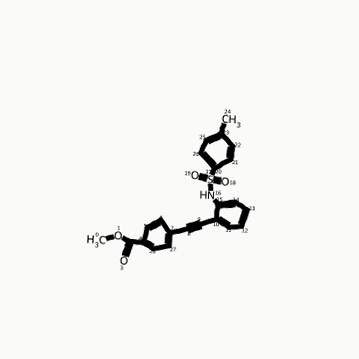 COC(=O)c1ccc(C#Cc2ccccc2NS(=O)(=O)c2ccc(C)cc2)cc1